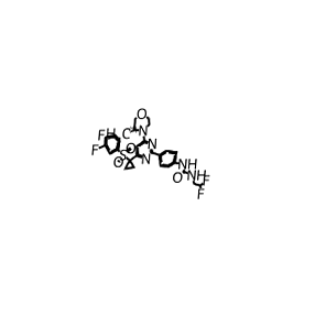 C[C@H]1COCCN1c1cc(C2(S(=O)(=O)c3ccc(F)c(F)c3)CC2)nc(-c2ccc(NC(=O)NCC(F)F)cc2)n1